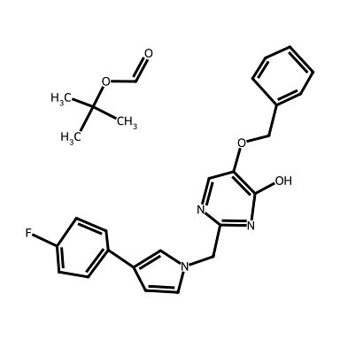 CC(C)(C)OC=O.Oc1nc(Cn2ccc(-c3ccc(F)cc3)c2)ncc1OCc1ccccc1